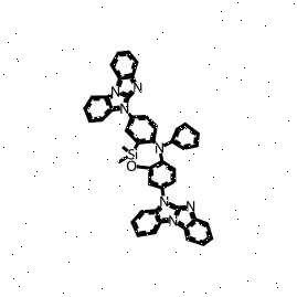 C[Si]1(C)Oc2cc(-n3c4ccccc4n4c5ccccc5nc34)ccc2N(c2ccccc2)c2ccc(-n3c4ccccc4n4c5ccccc5nc34)cc21